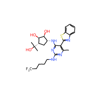 Cc1nc(NCCCCC(F)(F)F)nc(N[C@@H]2C[C@H](C(C)(C)O)[C@@H](O)[C@H]2O)c1-c1nc2ccccc2s1